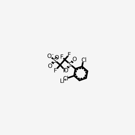 O=S(=O)([O-])C(F)(F)C(F)(F)S(=O)(=O)c1c(Cl)cccc1Cl.[Li+]